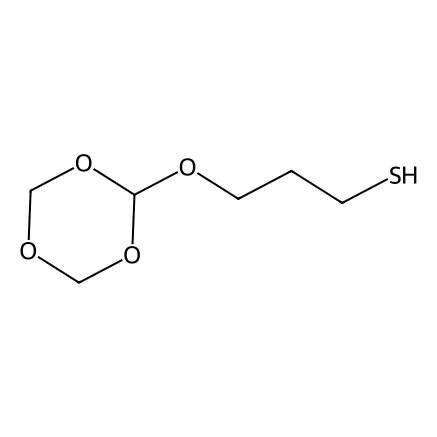 SCCCOC1OCOCO1